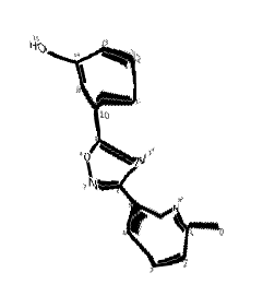 Cc1cccc(-c2noc(-c3cccc(O)c3)n2)n1